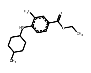 CCOC(=O)c1ccc(NC2CCC(C)CC2)c(C)c1